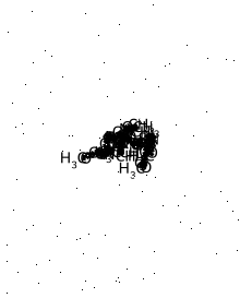 COCCOc1ccc2ncnc(Oc3cccc(NC(=O)N(c4cc(C(C)(C)C)on4)N(C(=O)Nc4cccc(Sc5ncnc6cc(OC)c(OCCCS(C)(=O)=O)cc56)c4)c4cc(C(C)(C)C)on4)c3)c2c1